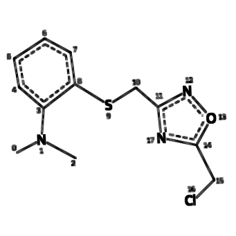 CN(C)c1ccccc1SCc1noc(CCl)n1